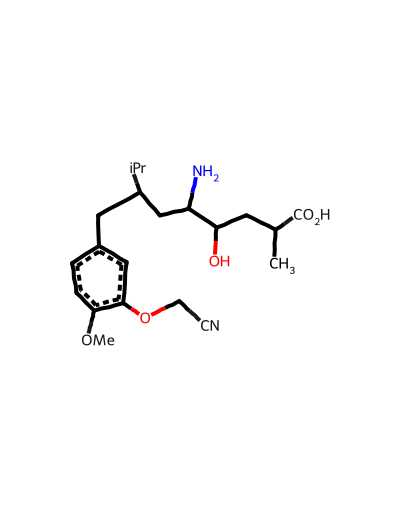 COc1ccc(CC(CC(N)C(O)CC(C)C(=O)O)C(C)C)cc1OCC#N